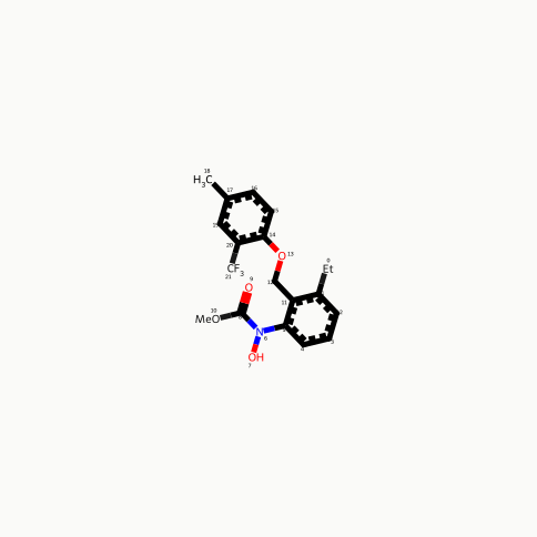 CCc1cccc(N(O)C(=O)OC)c1COc1ccc(C)cc1C(F)(F)F